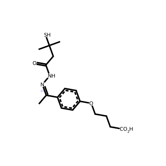 C/C(=N/NC(=O)CC(C)(C)S)c1ccc(OCCCC(=O)O)cc1